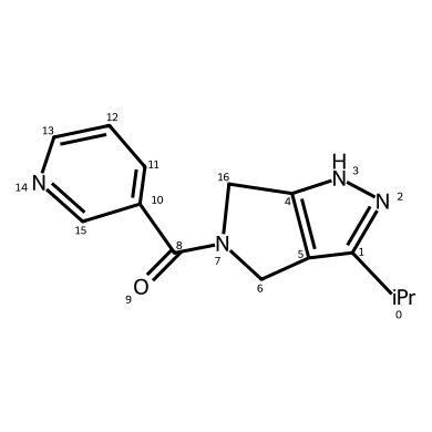 CC(C)c1n[nH]c2c1CN(C(=O)c1cccnc1)C2